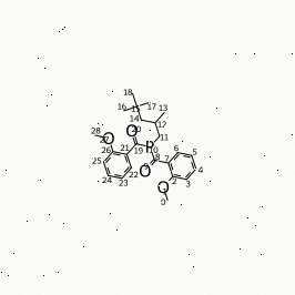 COc1ccccc1C(=O)P(CC(C)CC(C)(C)C)C(=O)c1ccccc1OC